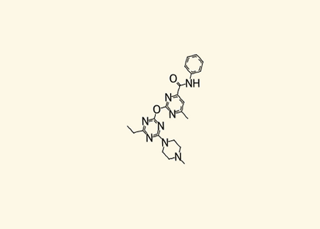 CCc1nc(Oc2nc(C)cc(C(=O)Nc3ccccc3)n2)nc(N2CCN(C)CC2)n1